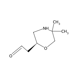 CC1(C)CO[C@@H](CC=O)CN1